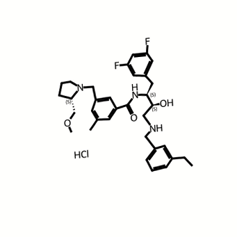 CCc1cccc(CNC[C@H](O)[C@H](Cc2cc(F)cc(F)c2)NC(=O)c2cc(C)cc(CN3CCC[C@H]3COC)c2)c1.Cl